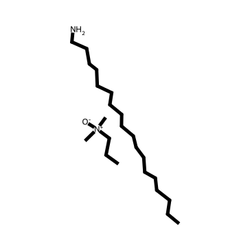 CCCCCCCCCCCCCCCCCCN.CCC[N+](C)(C)[O-]